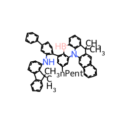 CCCCCc1cc(-c2ccc(-c3ccccc3)cc2Nc2cccc3c2C(C)(C)c2ccccc2-3)c2c(c1)N1c3cc4ccccc4cc3C(C)(C)c3cccc(c31)B2